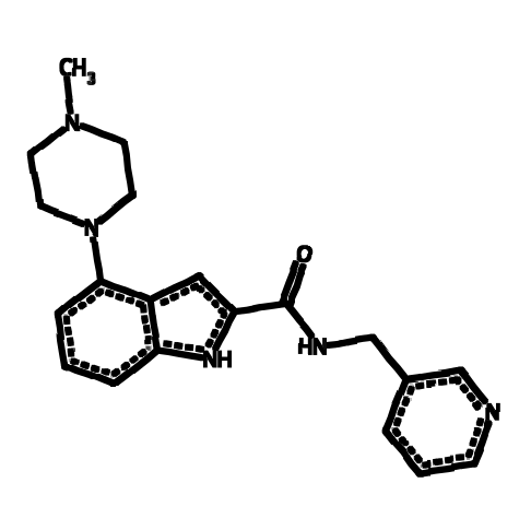 CN1CCN(c2cccc3[nH]c(C(=O)NCc4cccnc4)cc23)CC1